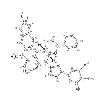 CO[C@@H]1[C@@H](n2cc(-c3cc(F)c(F)c(F)c3)nn2)[C@H]2O[C@@H](c3ccccc3)OC[C@H]2O[C@H]1C(=O)N(C)c1ccc2nc(C)sc2c1